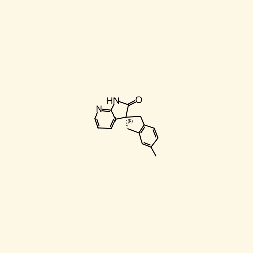 Cc1ccc2c(c1)C[C@@]1(C2)C(=O)Nc2ncccc21